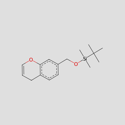 CC(C)(C)[Si](C)(C)OCc1ccc2c(c1)OC=CC2